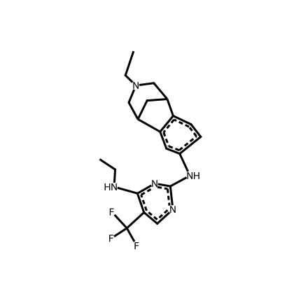 CCNc1nc(Nc2ccc3c(c2)C2CC3CN(CC)C2)ncc1C(F)(F)F